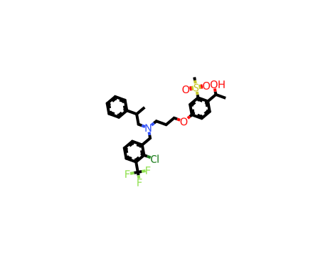 CC(O)c1ccc(OCCCN(Cc2cccc(C(F)(F)F)c2Cl)CC(C)c2ccccc2)cc1S(C)(=O)=O